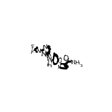 NC(=O)c1cccnc1O[C@H]1CC[C@H](Nc2ccnc(N3CC(F)(F)C3)n2)CC1